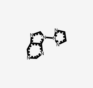 c1ncc2ncn(-n3nccn3)c2n1